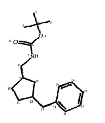 CC(C)(C)OC(=O)NCC1CCC(Cc2ccccc2)C1